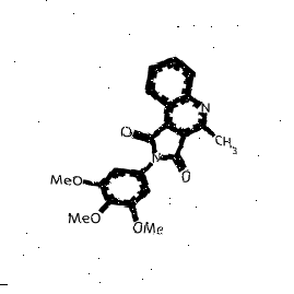 COc1cc(N2C(=O)c3c(C)nc4ccccc4c3C2=O)cc(OC)c1OC